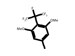 COc1cc(C)cc(OC)c1C(F)(C(F)(F)F)C(F)(F)F